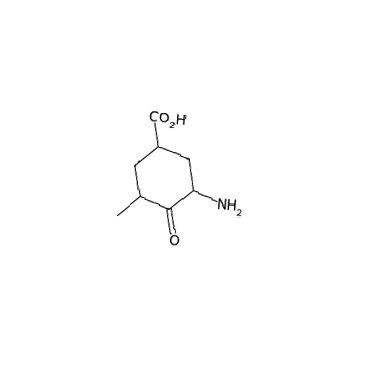 CC1CC(C(=O)O)CC(N)C1=O